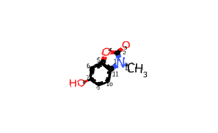 Cn1c(=O)oc2cc(O)ccc21